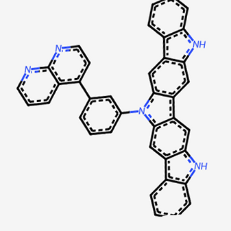 c1cc(-c2ccnc3ncccc23)cc(-n2c3cc4c(cc3c3cc5[nH]c6ccccc6c5cc32)[nH]c2ccccc24)c1